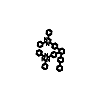 c1ccc(-c2ccc(-c3cccc(-c4ccc(-c5cc(-c6ccccc6)nc(-c6ccccc6)n5)cc4)c3-c3ccc(-c4nc(-c5ccccc5)nc(-c5ccccc5)n4)cc3)cc2)cc1